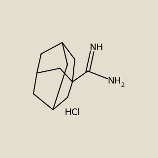 Cl.N=C(N)C12CC3CC(CC(C3)C1)C2